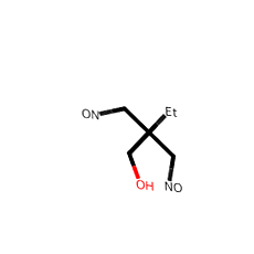 CCC(CO)(CN=O)CN=O